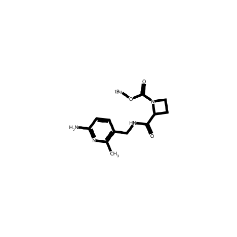 Cc1nc(N)ccc1CNC(=O)C1CCN1C(=O)OC(C)(C)C